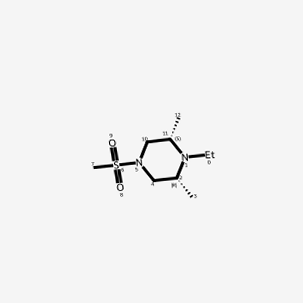 CCN1[C@H](C)CN(S(C)(=O)=O)C[C@@H]1C